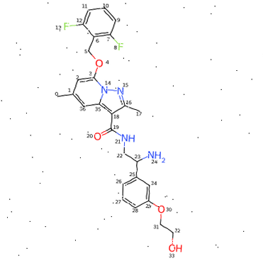 Cc1cc(OCc2c(F)cccc2F)n2nc(C)c(C(=O)NCC(N)c3cccc(OCCO)c3)c2c1